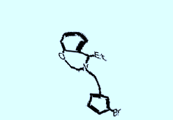 CCC1c2ccccc2OCCN1Cc1cccc(Br)c1